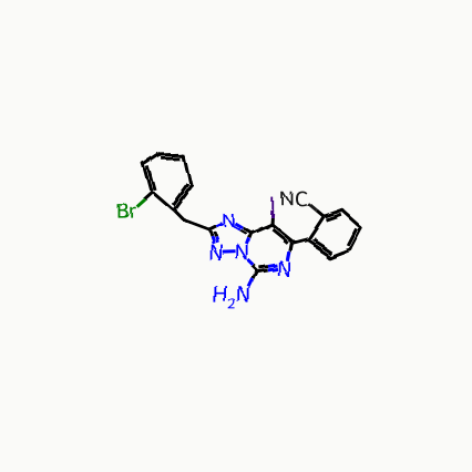 N#Cc1ccccc1-c1nc(N)n2nc(Cc3ccccc3Br)nc2c1I